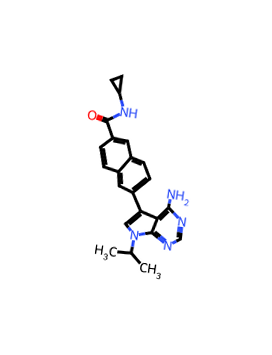 CC(C)n1cc(-c2ccc3cc(C(=O)NC4CC4)ccc3c2)c2c(N)ncnc21